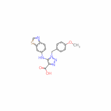 COc1ccc(Cn2nnc(C(=O)O)c2Nc2ccc3ncsc3c2)cc1